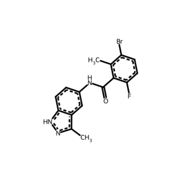 Cc1c(Br)ccc(F)c1C(=O)Nc1ccc2[nH]nc(C)c2c1